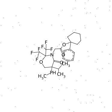 CPC1(C(C)C)COC(C(F)(F)F)(C(F)(F)F)N(CC(=O)OC2(c3ccccc3)CCCCC2)C1=O